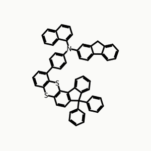 c1ccc(C2(c3ccccc3)c3ccccc3-c3c2ccc2c3Sc3c(cccc3-c3ccc(N(c4ccc5c(c4)Cc4ccccc4-5)c4cccc5ccccc45)cc3)S2)cc1